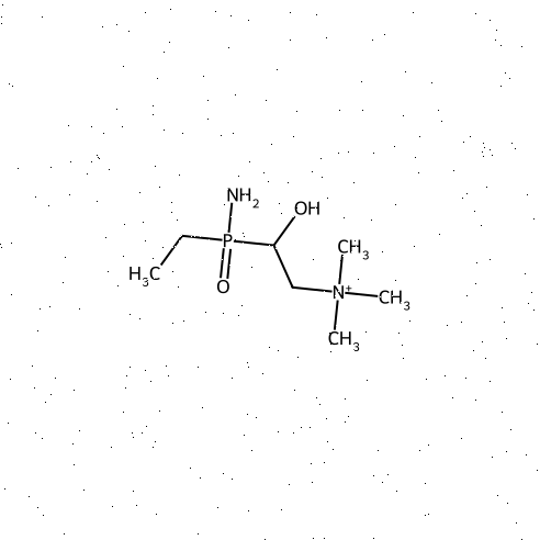 CCP(N)(=O)C(O)C[N+](C)(C)C